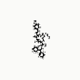 CN(CCN[C@@H](CCCN)C(=O)N(C)CC(c1ccccc1)c1ccccc1)C(=O)/C=C/c1ccc(F)cc1